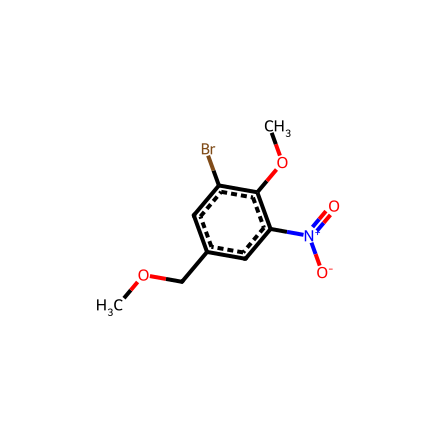 COCc1cc(Br)c(OC)c([N+](=O)[O-])c1